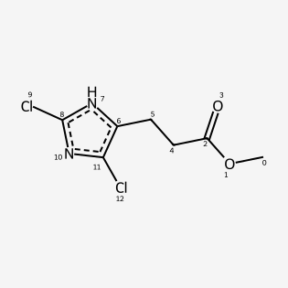 COC(=O)CCc1[nH]c(Cl)nc1Cl